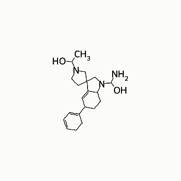 CC(O)N1CCC2(C1)CN(C(N)O)C1CCC(C3=CC=CCC3)C=C12